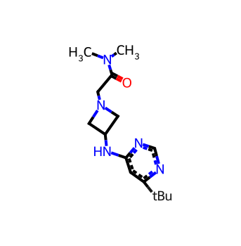 CN(C)C(=O)CN1CC(Nc2cc(C(C)(C)C)ncn2)C1